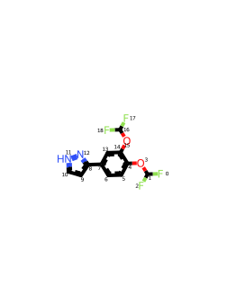 FC(F)Oc1ccc(-c2cc[nH]n2)cc1OC(F)F